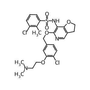 Cc1c(Cl)cccc1S(=O)(=O)Nc1c(OCc2ccc(Cl)c(OCCN(C)C)c2)ncc2c1OCC2